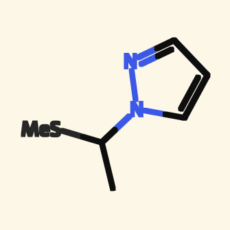 CSC(C)n1cccn1